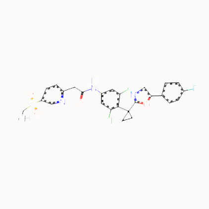 CCS(=O)(=O)c1ccc(CC(=O)Nc2cc(Cl)c(C3(c4ncc(-c5ccc(F)cc5)o4)CC3)c(Cl)c2)nc1